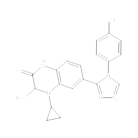 Cc1ccc(-n2cnnc2-c2ccc3c(c2)N(C2CC2)C(C)C(=O)N3)cc1